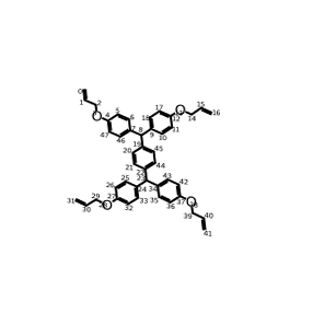 C=CCOc1ccc(C(c2ccc(OCC=C)cc2)c2ccc(C(c3ccc(OCC=C)cc3)c3ccc(OCC=C)cc3)cc2)cc1